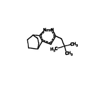 CC(C)(C)Cc1cc2c(nn1)C1CCC2CC1